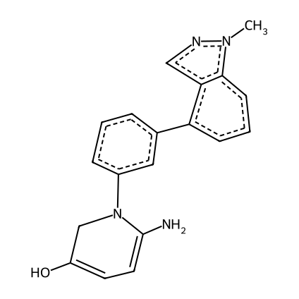 Cn1ncc2c(-c3cccc(N4CC(O)=CC=C4N)c3)cccc21